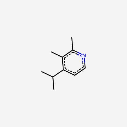 Cc1nccc(C(C)C)c1C